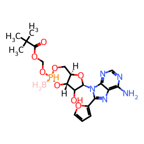 B[PH]1(OCOC(=O)C(C)(C)C)OC[C@H]2O[C@@H](n3c(-c4ccco4)nc4c(N)ncnc43)C(O)[C@@H]2O1